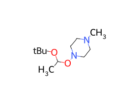 CC(ON1CCN(C)CC1)OC(C)(C)C